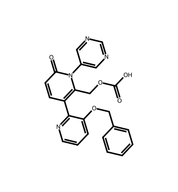 O=C(O)OCc1c(-c2ncccc2OCc2ccccc2)ccc(=O)n1-c1cncnc1